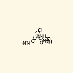 C=C(/C=C(/c1cccc(OCCN2CCN(C)CC2)c1)N(N)c1cccc(Cl)c1)C(=O)N1CNC(=O)C1